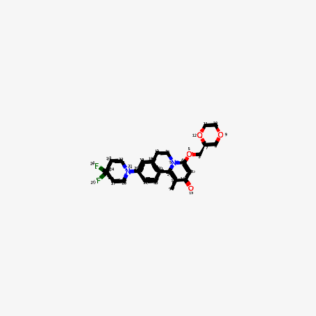 Cc1c2n(c(OC[C@@H]3COCCO3)cc1=O)CCc1cc(N3CCC(F)(F)CC3)ccc1-2